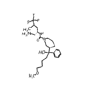 COCCCC[C@@](O)(c1ccccc1)[C@@H]1CCCN(C(=O)N[C@H](CN)CC(C)C(F)(F)F)C1